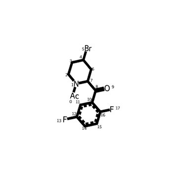 CC(=O)N1CCC(Br)CC1C(=O)c1cc(F)ccc1F